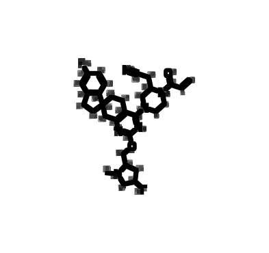 C=CC(=O)N1CCN(c2nc(OCC3CC(F)CN3C)nc3c2CCC2(CCc4cc(F)ccc42)C3)CC1CC#N